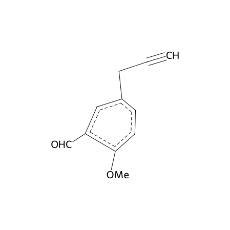 C#CCc1ccc(OC)c(C=O)c1